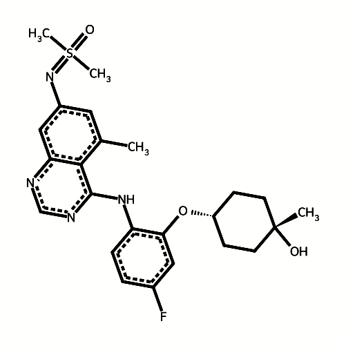 Cc1cc(N=S(C)(C)=O)cc2ncnc(Nc3ccc(F)cc3O[C@H]3CC[C@@](C)(O)CC3)c12